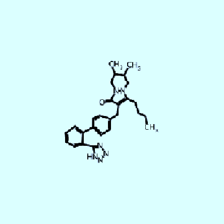 CCCCc1c(Cc2ccc(-c3ccccc3-c3nnn[nH]3)cc2)c(=O)n2n1CC(C)C(C)C2